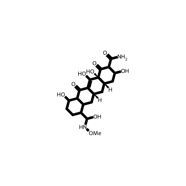 CONC(O)C1CCC(O)C2C(=O)C3=C(O)[C@]4(O)C(=O)C(C(N)=O)C(O)C[C@@H]4C[C@@H]3CC12